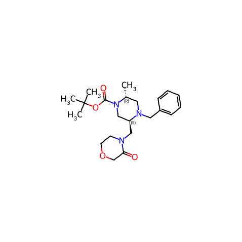 C[C@@H]1CN(Cc2ccccc2)[C@@H](CN2CCOCC2=O)CN1C(=O)OC(C)(C)C